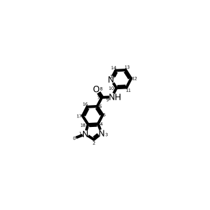 Cn1cnc2cc(C(=O)Nc3ccccn3)ccc21